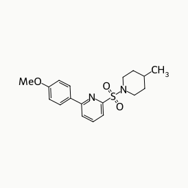 COc1ccc(-c2cccc(S(=O)(=O)N3CCC(C)CC3)n2)cc1